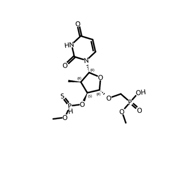 CO[PH](=S)O[C@@H]1[C@@H](OCP(=O)(O)OC)O[C@@H](n2ccc(=O)[nH]c2=O)[C@@H]1C